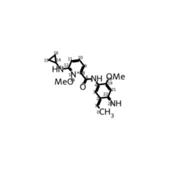 C/C=C1/C=C(NC(=O)c2cccc(NC3CC3)[n+]2OC)C(OC)=CC1=N